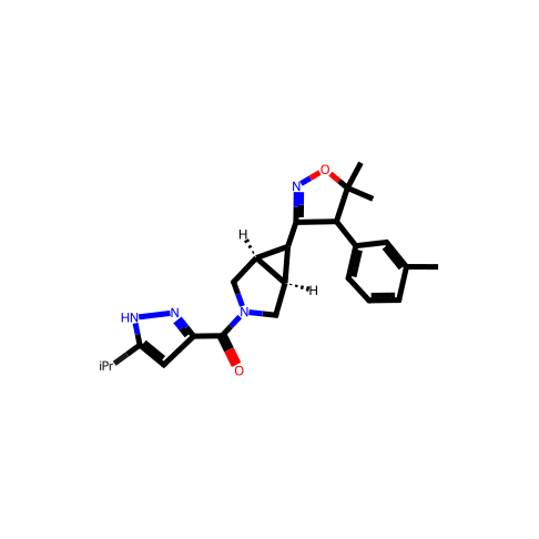 Cc1cccc(C2C(C3[C@H]4CN(C(=O)c5cc(C(C)C)[nH]n5)C[C@@H]34)=NOC2(C)C)c1